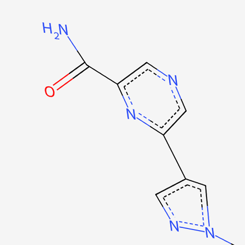 Cn1cc(-c2cncc(C(N)=O)n2)cn1